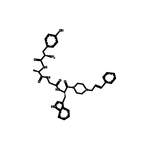 C[C@@H](NC(=O)[C@H](N)Cc1ccc(O)cc1)C(=O)NCC(=O)N[C@@H](Cc1c[nH]c2ccccc12)C(=O)N1CCN(C/C=C/c2ccccc2)CC1